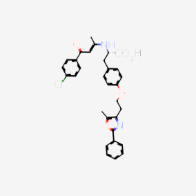 C/C(=C\C(=O)c1ccc(Cl)cc1)N[C@@H](Cc1ccc(OCCc2nc(-c3ccccc3)oc2C)cc1)C(=O)O